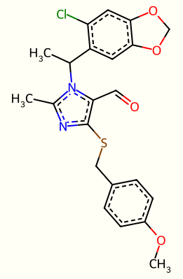 COc1ccc(CSc2nc(C)n(C(C)c3cc4c(cc3Cl)OCO4)c2C=O)cc1